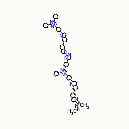 C=N/C(=N\C=C/C)c1ccc2ccc(-c3ccc4ccc(-c5ccc(-c6cc(-c7ccc(-c8ccnc(-c9ccc%10ccc(-c%11ccc%12ccc(-c%13ccc(-c%14nc(-c%15ccccc%15)nc(-c%15ccccc%15)n%14)cc%13)nc%12c%11)cc%10n9)n8)cc7)nc(-c7ccccc7)n6)cc5)nc4c3)cc2n1